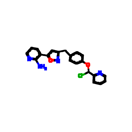 Nc1ncccc1-c1cc(Cc2ccc(OC(Cl)c3ccccn3)cc2)no1